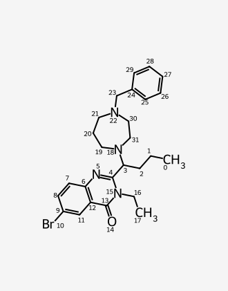 CCCC(c1nc2ccc(Br)cc2c(=O)n1CC)N1CCCN(Cc2ccccc2)CC1